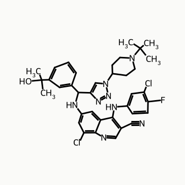 CC(C)(O)c1cccc(C(Nc2cc(Cl)c3ncc(C#N)c(Nc4ccc(F)c(Cl)c4)c3c2)c2cn(C3CCN(C(C)(C)C)CC3)nn2)c1